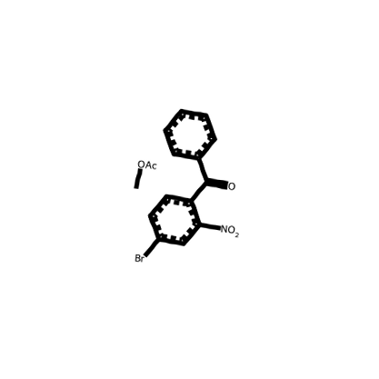 COC(C)=O.O=C(c1ccccc1)c1ccc(Br)cc1[N+](=O)[O-]